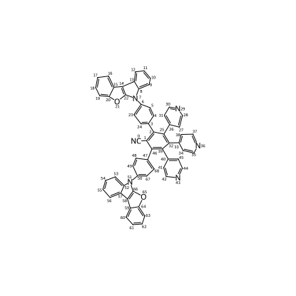 N#Cc1c(-c2ccc(-n3c4ccccc4c4c5ccccc5oc43)cc2)c(-c2ccncc2)c(-c2ccncc2)c(-c2ccncc2)c1-c1ccc(-n2c3ccccc3c3c4ccccc4oc32)cc1